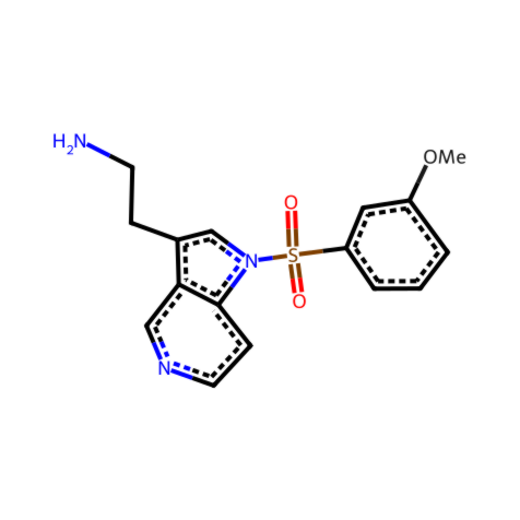 COc1cccc(S(=O)(=O)n2cc(CCN)c3cnccc32)c1